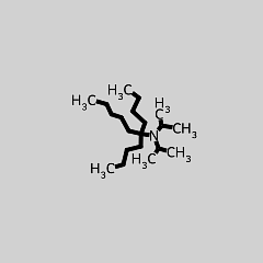 CCCCCC(CCCC)(CCCC)N(C(C)C)C(C)C